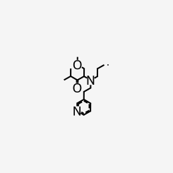 [CH2]CCN(CCc1cccnc1)C(COC)C(=O)C(C)C